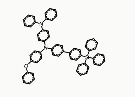 c1ccc(Oc2ccc(N(c3ccc(-c4ccc([Si](c5ccccc5)(c5ccccc5)c5ccccc5)cc4)cc3)c3ccc(N(c4ccccc4)c4ccccc4)cc3)cc2)cc1